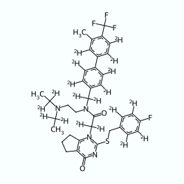 [2H]c1c([2H])c(CSc2nc(=O)c3c(n2C([2H])([2H])C(=O)N(CCN(C([2H])([2H])C)C([2H])([2H])C)C([2H])([2H])c2c([2H])c([2H])c(-c4c([2H])c([2H])c(C(F)(F)F)c(C)c4[2H])c([2H])c2[2H])CCC3)c([2H])c([2H])c1F